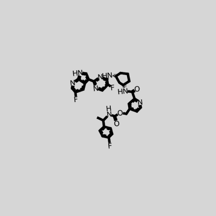 CC(NC(=O)OCc1ccnc(C(=O)N[C@H]2CCC[C@@H](Nc3nc(-c4c[nH]c5ncc(F)cc45)ncc3F)C2)c1)c1ccc(F)cc1